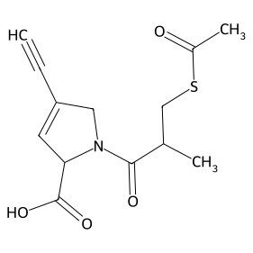 C#CC1=CC(C(=O)O)N(C(=O)C(C)CSC(C)=O)C1